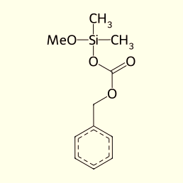 CO[Si](C)(C)OC(=O)OCc1ccccc1